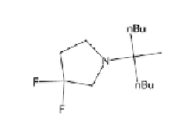 CCCCC(C)(CCCC)N1CCC(F)(F)C1